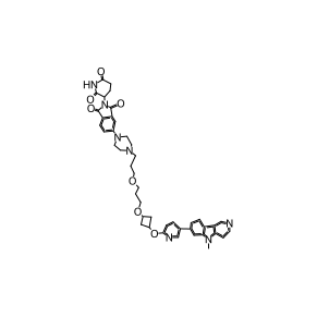 Cn1c2ccncc2c2ccc(-c3ccc(OC4CC(OCCCOCCCN5CCN(c6ccc7c(c6)C(=O)N(C6CCC(=O)NC6=O)C7=O)CC5)C4)nc3)cc21